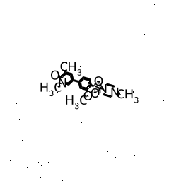 COc1cc(-c2cc(C)c(=O)n(C)c2)ccc1S(=O)(=O)N1CCN(C)CC1